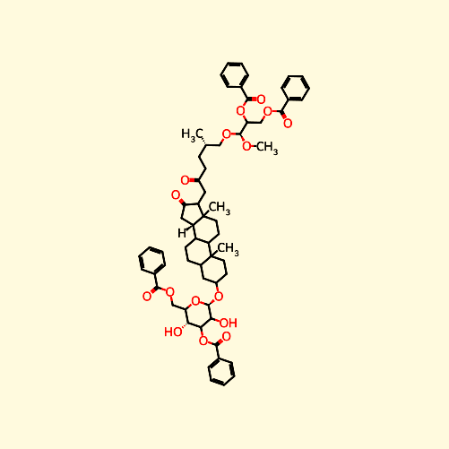 CO[C@@H](OC[C@@H](C)CCC(=O)CC1C(=O)C[C@H]2C3CCC4CC(O[C@@H]5OC(COC(=O)c6ccccc6)[C@@H](O)C(OC(=O)c6ccccc6)C5O)CCC4(C)C3CCC12C)C(COC(=O)c1ccccc1)OC(=O)c1ccccc1